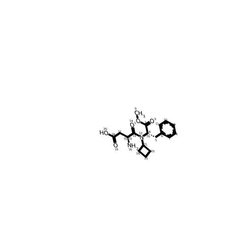 COC(=O)[C@H](Cc1ccccc1)N(C(=O)[C@@H](N)CC(=O)O)C1CCC1